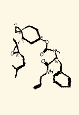 C=CCNC(=O)[C@H](Cc1ccccc1)NC(=O)O[C@@H]1CC[C@]2(CO2)[C@@H](C2(C)O[C@@H]2CC=C(C)C)C1